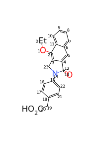 CCOc1c2c(cc3ccccc13)C(=O)N(c1ccc(CC(=O)O)cc1)C2